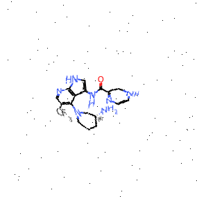 N[C@@H]1CCCN(c2c(C(F)(F)F)cnc3[nH]cc(NC(=O)C4=NC=CNC4)c23)C1